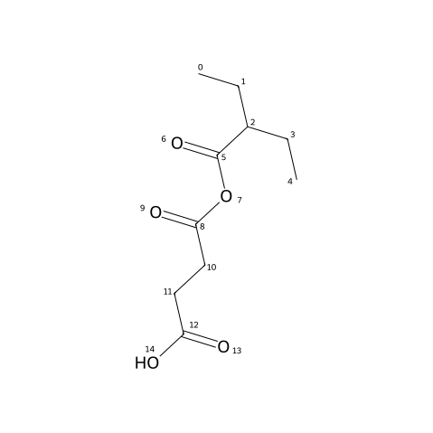 CCC(CC)C(=O)OC(=O)CCC(=O)O